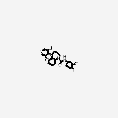 O=C(Nc1ccc(F)c(Cl)c1)N1CCCN(c2c(Cl)cncc2Cl)c2ccccc21